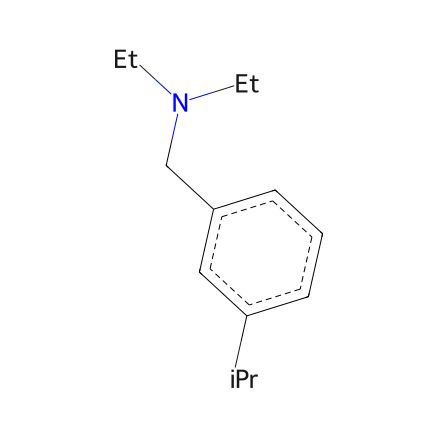 CCN(CC)Cc1cccc(C(C)C)c1